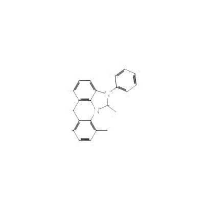 Cc1cccc2c1N1c3c(cccc3N(c3ccccc3)C1C)C2